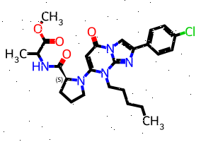 CCCCCn1c(N2CCC[C@H]2C(=O)NC(C)C(=O)OC)cc(=O)n2cc(-c3ccc(Cl)cc3)nc12